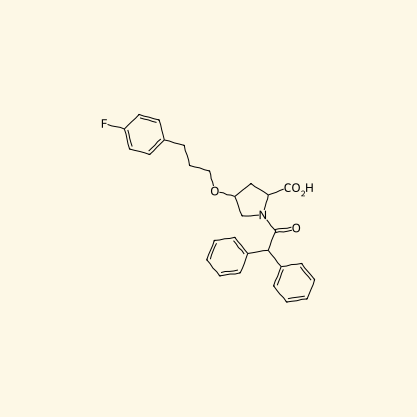 O=C(O)C1CC(OCCCc2ccc(F)cc2)CN1C(=O)C(c1ccccc1)c1ccccc1